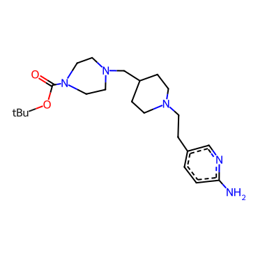 CC(C)(C)OC(=O)N1CCN(CC2CCN(CCc3ccc(N)nc3)CC2)CC1